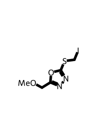 COCc1nnc(SCI)o1